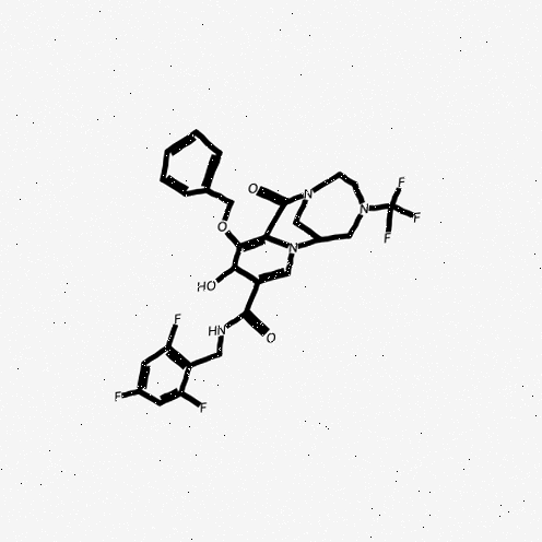 O=C(NCc1c(F)cc(F)cc1F)C1=CN2C(=C(OCc3ccccc3)C1O)C(=O)N1CCN(C(F)(F)F)CC2C1